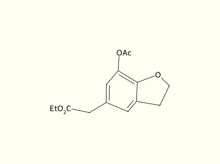 CCOC(=O)Cc1cc2c(c(OC(C)=O)c1)OCC2